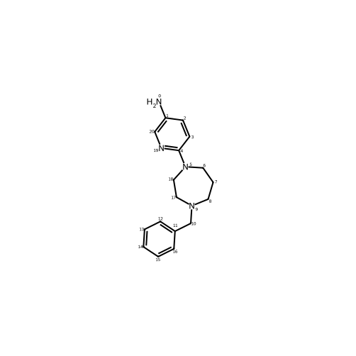 Nc1ccc(N2CCCN(Cc3ccccc3)CC2)nc1